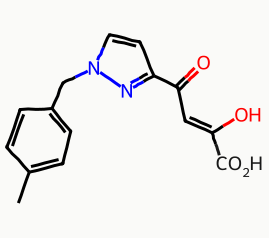 Cc1ccc(Cn2ccc(C(=O)C=C(O)C(=O)O)n2)cc1